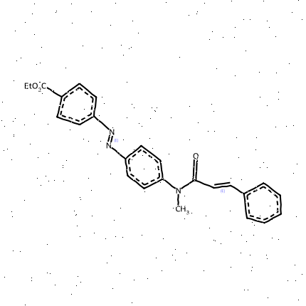 CCOC(=O)c1ccc(/N=N/c2ccc(N(C)C(=O)/C=C/c3ccccc3)cc2)cc1